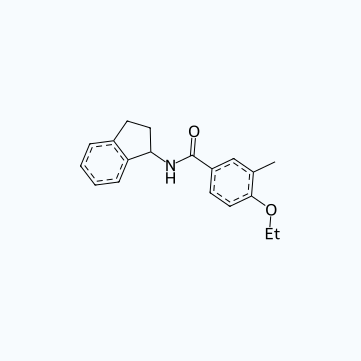 CCOc1ccc(C(=O)NC2CCc3ccccc32)cc1C